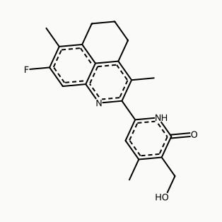 Cc1cc(-c2nc3cc(F)c(C)c4c3c(c2C)CCC4)[nH]c(=O)c1CO